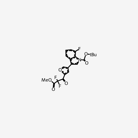 COC(=O)C(F)(F)C(=O)c1cc(-c2cn(C(=O)OC(C)(C)C)c3c(F)cccc23)co1